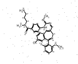 C/N=C(\N=C/C1=Cc2ccc(Cl)cc2C(c2c(F)cccc2OC)=NC1)Nc1ccc(C(=O)N(C)CCCN)cc1